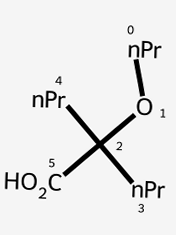 CCCOC(CCC)(CCC)C(=O)O